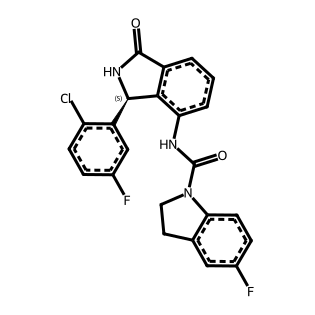 O=C1N[C@H](c2cc(F)ccc2Cl)c2c(NC(=O)N3CCc4cc(F)ccc43)cccc21